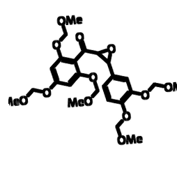 COCOc1cc(OCOC)c(C(=O)C2OC2c2ccc(OCOC)c(OCOC)c2)c(OCOC)c1